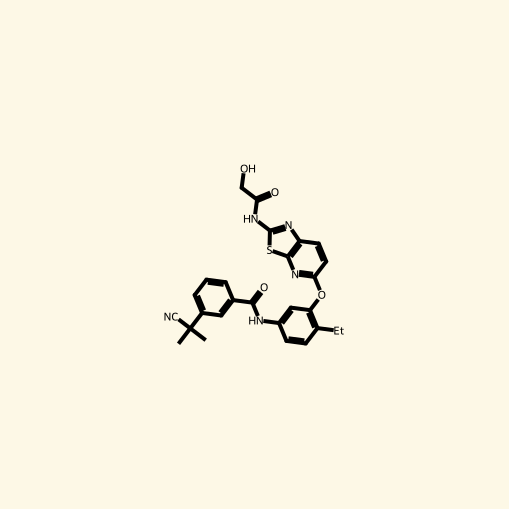 CCc1ccc(NC(=O)c2cccc(C(C)(C)C#N)c2)cc1Oc1ccc2nc(NC(=O)CO)sc2n1